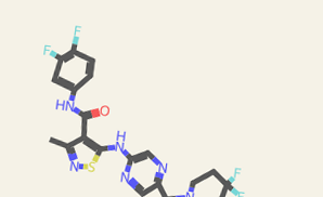 Cc1nsc(Nc2cnc(CN3CCC(F)(F)CC3)cn2)c1C(=O)Nc1ccc(F)c(F)c1